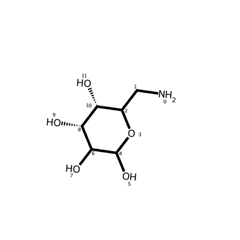 NCC1OC(O)C(O)[C@H](O)[C@@H]1O